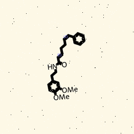 COc1ccc(CCNC(=O)/C=C/CC/C=C\c2ccccc2)cc1OC